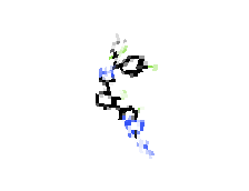 CC(F)(F)[C@@H](c1ccc(F)cc1)n1cc(-c2cccc(-c3cc(F)c4nc(N)nn4c3)c2F)cn1